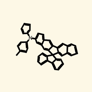 Cc1ccc(N(c2ccccc2)c2ccc3cc4c(cc3c2)C2(c3ccccc3-c3ccccc32)c2cc3ccccc3cc2-4)cc1